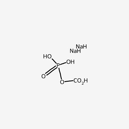 O=C(O)OP(=O)(O)O.[NaH].[NaH]